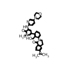 CN(C)c1ccc2c(c1)CCN(c1cccc(-c3cc(Nc4ccc(N5CCOCC5)cn4)c(=O)n(C)c3)c1CO)C2=O